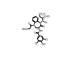 COCC(=O)N1C[C@H](NC(=O)c2cc(Cl)c(O)c(Cl)c2)C(=O)N(N(C(C)=O)[C@H](C=O)CC(=O)O)c2ccccc21